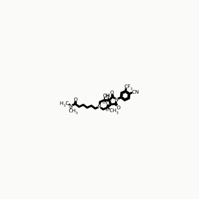 CN(C)C(=O)CCCCCN1C[C@@]2(C)O[C@@](C)(C1)C1C(=O)N(c3ccc(C#N)c(C(F)(F)F)c3)C(=O)[C@H]12